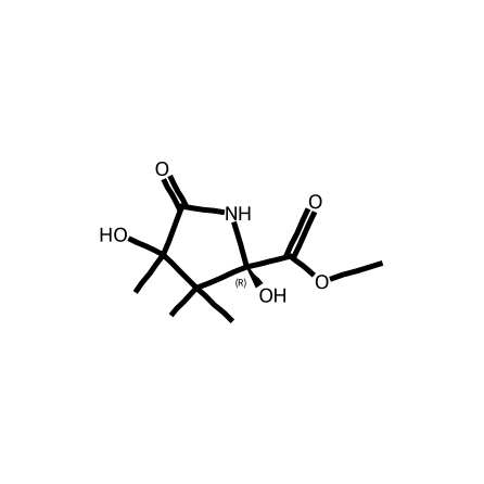 COC(=O)[C@@]1(O)NC(=O)C(C)(O)C1(C)C